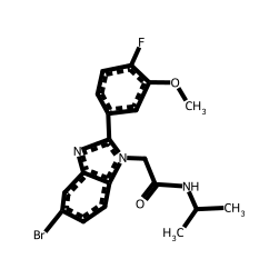 COc1cc(-c2nc3cc(Br)ccc3n2CC(=O)NC(C)C)ccc1F